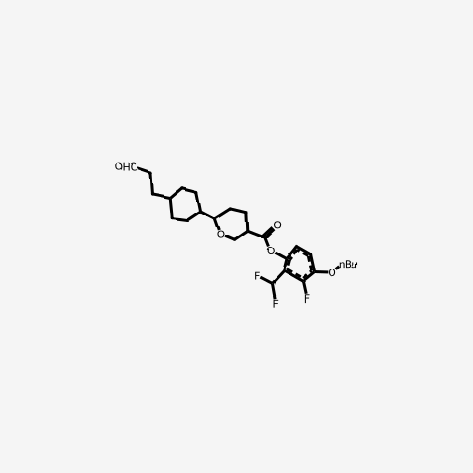 CCCCOc1ccc(OC(=O)C2CCC(C3CCC(CCC=O)CC3)OC2)c(C(F)F)c1F